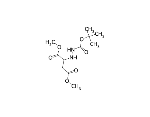 COC(=O)CC(NNC(=O)OC(C)(C)C)C(=O)OC